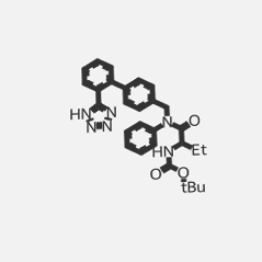 CCC(NC(=O)OC(C)(C)C)C(=O)N(Cc1ccc(-c2ccccc2-c2nnn[nH]2)cc1)c1ccccc1